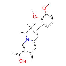 C=C(O)C1=CN(C(C)C(C)(C)C)C(/C=C/c2cccc(OC)c2OC)=CC1=C